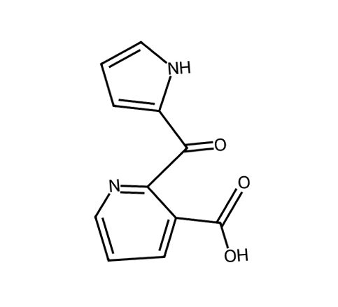 O=C(O)c1cccnc1C(=O)c1ccc[nH]1